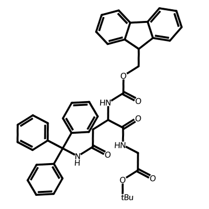 CC(C)(C)OC(=O)CNC(=O)C(CC(=O)NC(c1ccccc1)(c1ccccc1)c1ccccc1)NC(=O)OCC1c2ccccc2-c2ccccc21